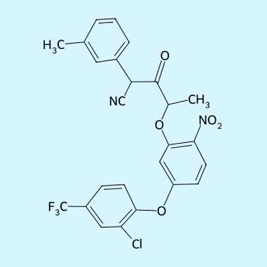 Cc1cccc(C(C#N)C(=O)C(C)Oc2cc(Oc3ccc(C(F)(F)F)cc3Cl)ccc2[N+](=O)[O-])c1